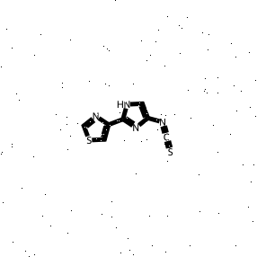 S=C=Nc1c[nH]c(-c2cscn2)n1